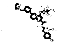 COC[C@H](Cc1ccc(O)cc1)NC(=O)c1cc(NS(=O)(=O)C(C)(C)C)c2cc(-c3cccc(Cn4cccn4)c3)ccc2n1